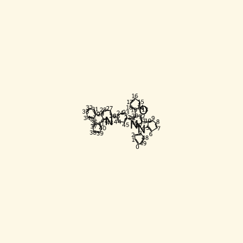 c1ccc(-n2c3ccccc3c3c4oc5ccccc5c4c(-c4ccc(-c5ccc6c7ccccc7c7ccccc7c6n5)cc4)nc32)cc1